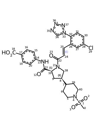 CS(=O)(=O)N1CCC([C@H]2C[C@@H](C(=O)Nc3ccc(C(=O)O)cc3)N(C(=O)/C=C/c3cc(Cl)ccc3-n3cnnn3)C2)CC1